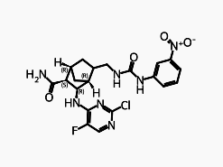 NC(=O)[C@H]1[C@@H]2CC(CNC(=O)Nc3cccc([N+](=O)[O-])c3)[C@@H](C2)[C@H]1Nc1nc(Cl)ncc1F